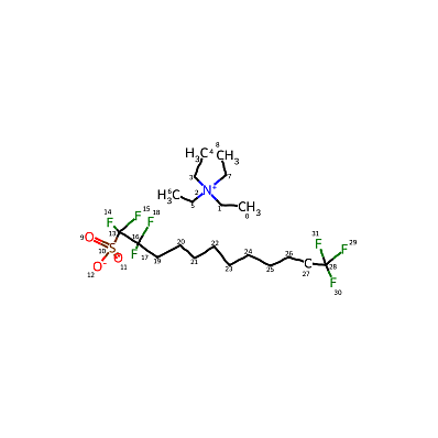 CC[N+](CC)(CC)CC.O=S(=O)([O-])C(F)(F)C(F)(F)CCCCCCCCCC(F)(F)F